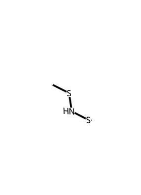 CSN[S]